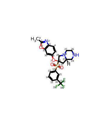 Cc1nc2ccc(O[C@]3(S(=O)(=O)c4cccc(C(F)(F)F)c4)C[C@H]4CNCCN4C3)cc2o1